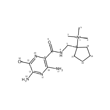 C[N+](C)(C)C1(CNC(=O)c2nc(Cl)c(N)nc2N)CCCC1